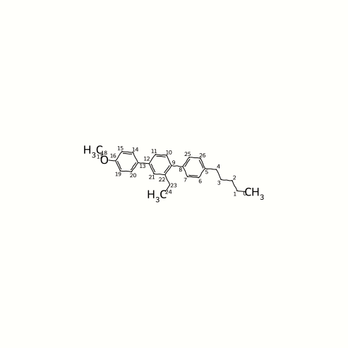 CCCCCc1ccc(-c2ccc(-c3ccc(OC)cc3)cc2CC)cc1